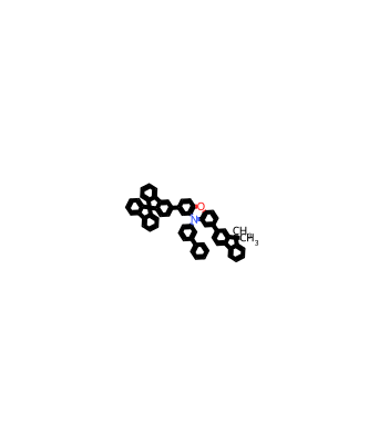 CC1(C)c2ccccc2-c2ccc(-c3ccc4c(c3)N(c3cccc(-c5ccccc5)c3)c3cc(-c5ccc6c(c5)-c5ccccc5C65c6ccccc6-c6ccccc65)ccc3O4)cc21